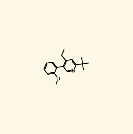 CCc1cc(C(C)(C)C)ncc1-c1ccccc1OC